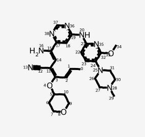 C/C=C/C(OC1CCOCC1)=C(C#N)\C=C(/N)c1cc(Nc2ccc(N3CCN(C)CC3)c(OC)n2)ncn1